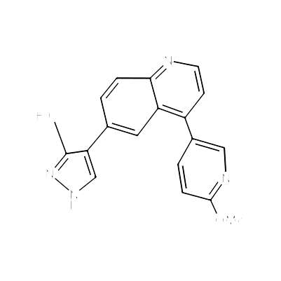 COc1ccc(-c2ccnc3ccc(-c4c[nH]nc4C(F)(F)F)cc23)cn1